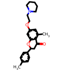 Cc1ccc(C2CC(=O)c3c(C)cc(OCCN4CCCCC4)cc3O2)cc1